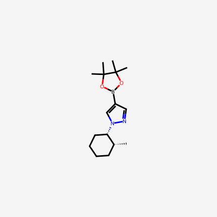 C[C@@H]1CCCC[C@@H]1n1cc(B2OC(C)(C)C(C)(C)O2)cn1